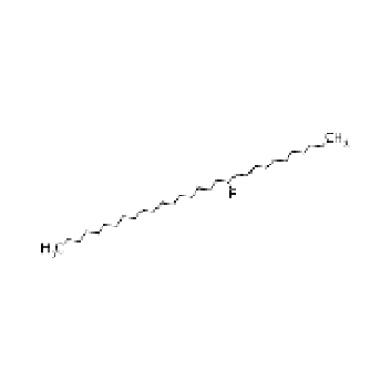 CCCCCCCCCCCCCCCCCCC(F)CCCCCCCCCCC